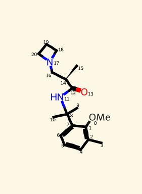 COc1c(C)cccc1C(C)(C)NC(=O)[C@H](C)CN1CCC1